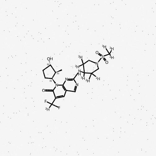 [2H]C(F)(F)c1cc2cnc(NC3([2H])C([2H])([2H])CN(S(=O)(=O)C([2H])([2H])[2H])CC3([2H])[2H])nc2n([C@H]2CC[C@H](O)[C@H]2C)c1=O